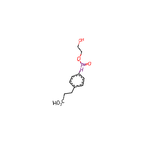 O=C(O)CCc1ccc([PH](=O)OCCO)cc1